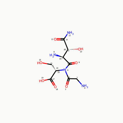 NCC(=O)N(C(=O)[C@@H](N)[C@@H](O)C(N)=O)[C@@H](CO)C(=O)O